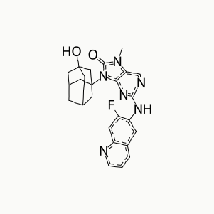 Cn1c(=O)n(C23CC4CC(CC(O)(C4)C2)C3)c2nc(Nc3cc4cccnc4cc3F)ncc21